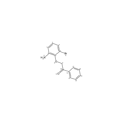 Nc1cccc(Br)c1OCC(=O)c1ccccc1